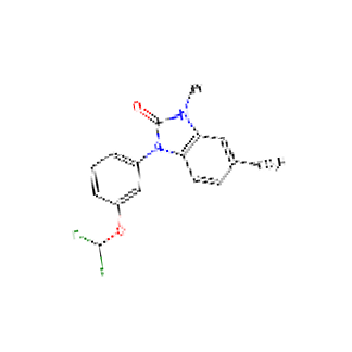 CC(C)n1c(=O)n(-c2cccc(OC(F)F)c2)c2ccc(C(=O)O)cc21